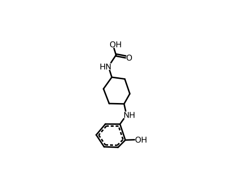 O=C(O)NC1CCC(Nc2ccccc2O)CC1